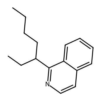 CCCCC(CC)c1nccc2ccccc12